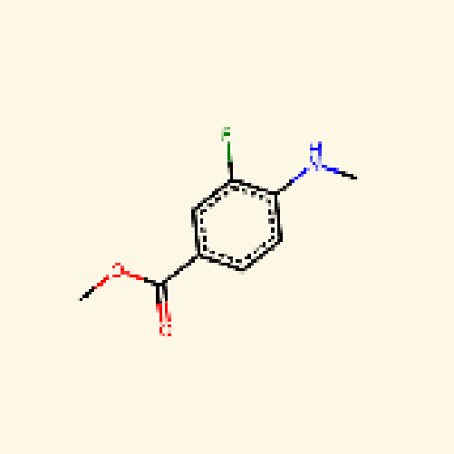 CNc1ccc(C(=O)OC)cc1F